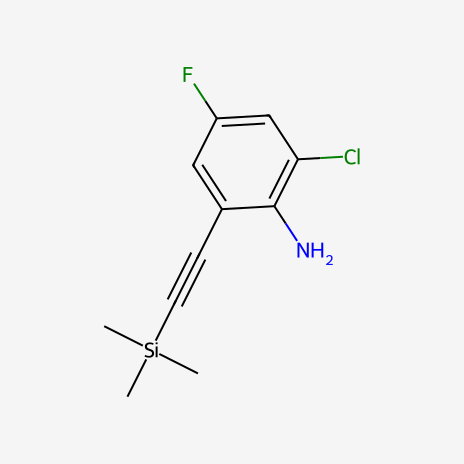 C[Si](C)(C)C#Cc1cc(F)cc(Cl)c1N